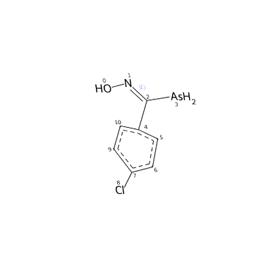 O/N=C(/[AsH2])c1ccc(Cl)cc1